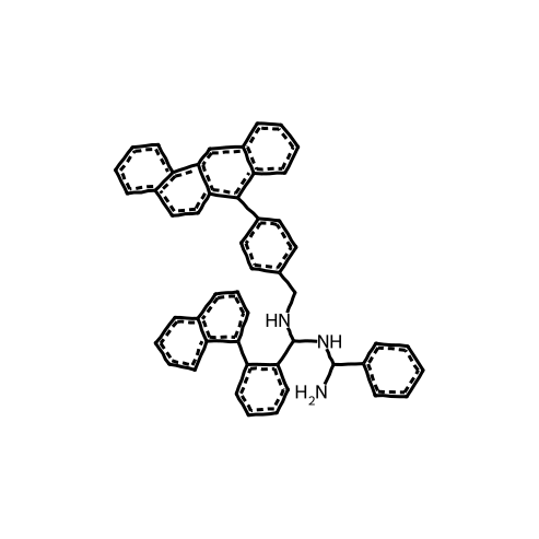 NC(NC(NCc1ccc(-c2c3ccccc3cc3c2ccc2ccccc23)cc1)c1ccccc1-c1cccc2ccccc12)c1ccccc1